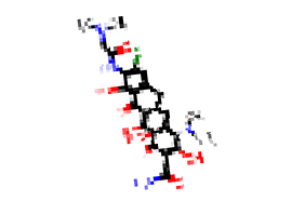 CN(C)CC(=O)Nc1c(Cl)cc2c(c1O)C(=O)C1=C(O)C3(O)C(=O)C(C(N)=O)=C(O)[C@@H](N(C)C)C3CC1C2